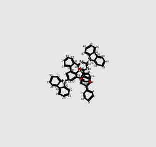 c1ccc(-c2ccc(-c3nc(-c4ccccc4-c4cc(-n5c6ccccc6c6ccccc65)cc5c4sc4ccccc45)nc(-n4c5ccccc5c5ccccc54)n3)cc2)cc1